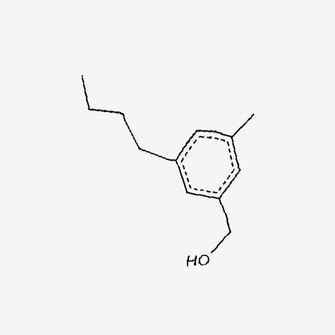 CCCCc1cc(C)cc(CO)c1